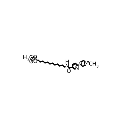 CCN1CCN(c2ccc(C(=O)NCCCCCCCCCCCCOS(C)(=O)=O)cn2)CC1